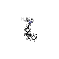 CC(C)(CN1CCOCC1)CS(=O)(=O)c1ccc(OC/C(=C/F)CN)cc1